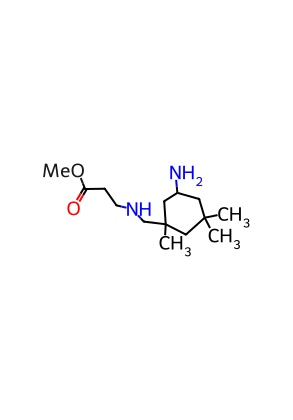 COC(=O)CCNCC1(C)CC(N)CC(C)(C)C1